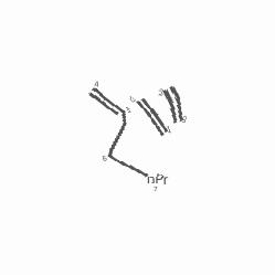 C=C.C=C.C=CCCCC